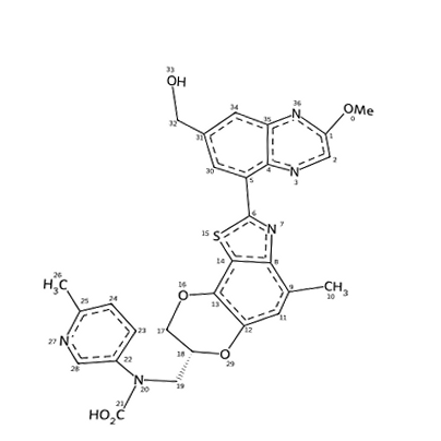 COc1cnc2c(-c3nc4c(C)cc5c(c4s3)OC[C@@H](CN(C(=O)O)c3ccc(C)nc3)O5)cc(CO)cc2n1